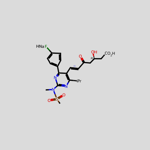 CC(C)c1nc(N(C)S(C)(=O)=O)nc(-c2ccc(F)cc2)c1/C=C/C(=O)C[C@@H](O)CC(=O)O.[NaH]